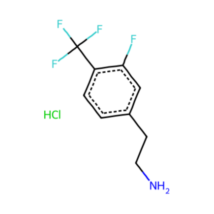 Cl.NCCc1ccc(C(F)(F)F)c(F)c1